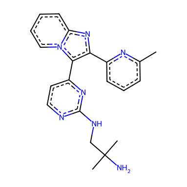 Cc1cccc(-c2nc3ccccn3c2-c2ccnc(NCC(C)(C)N)n2)n1